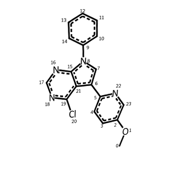 COc1ccc(-c2cn(-c3ccccc3)c3ncnc(Cl)c23)nc1